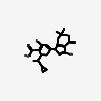 CCc1nn(-c2cc(F)c(C(N)=O)c(N(C)C3CC3)c2)c2c1C(=O)CC(C)(C)C2